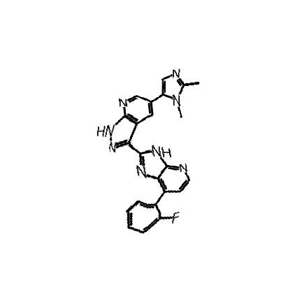 Cc1ncc(-c2cnc3[nH]nc(-c4nc5c(-c6ccccc6F)ccnc5[nH]4)c3c2)n1C